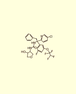 O=C(NC1COCC1O)N[C@@](Cc1ccccc1)(c1cc(F)cc(OC(F)(F)C(F)F)c1)c1ccc(Cl)cn1